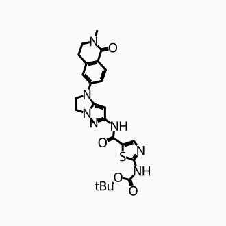 CN1CCc2cc(N3CCn4nc(NC(=O)c5cnc(NC(=O)OC(C)(C)C)s5)cc43)ccc2C1=O